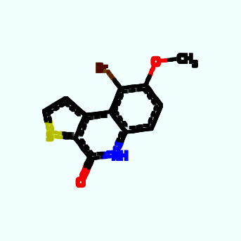 COc1ccc2[nH]c(=O)c3sccc3c2c1Br